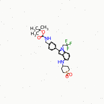 CC(C)(C)OC(=O)NCc1ccc(-c2cc3c(NC4CCS(=O)(=O)CC4)cccc3n2CC(F)(F)F)cc1